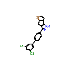 Clc1cc(Cl)cc(-c2ccc(-c3n[nH]c4c3Cc3sccc3-4)cc2)c1